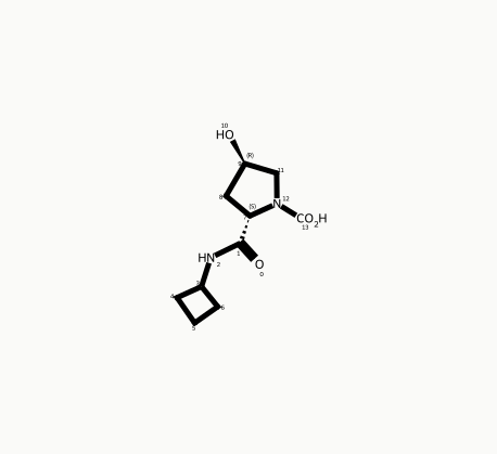 O=C(NC1CCC1)[C@@H]1C[C@@H](O)CN1C(=O)O